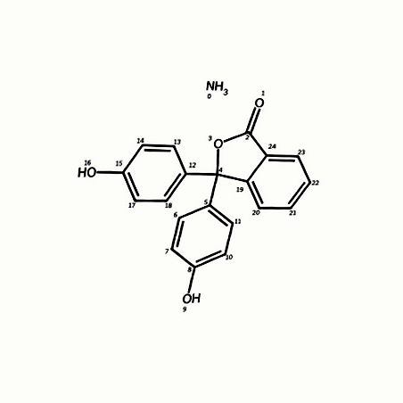 N.O=C1OC(c2ccc(O)cc2)(c2ccc(O)cc2)c2ccccc21